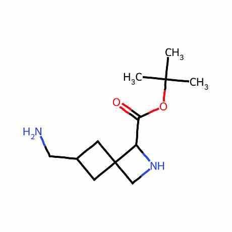 CC(C)(C)OC(=O)C1NCC12CC(CN)C2